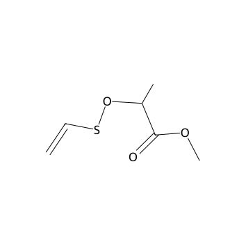 C=CSOC(C)C(=O)OC